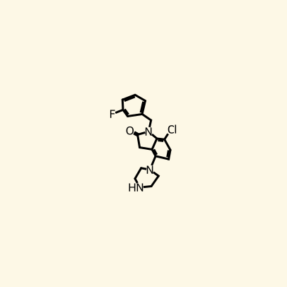 O=C1Cc2c(N3CCNCC3)ccc(Cl)c2N1Cc1cccc(F)c1